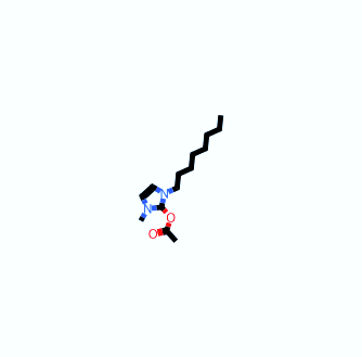 CCCCCCCCN1C=CN(C)C1OC(C)=O